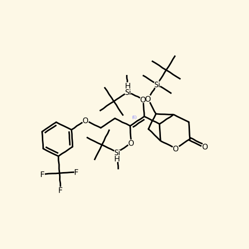 C[SiH](O/C(CCOc1cccc(C(F)(F)F)c1)=C(/O[SiH](C)C(C)(C)C)C1C2CC(O[Si](C)(C)C(C)(C)C)C1CC(=O)O2)C(C)(C)C